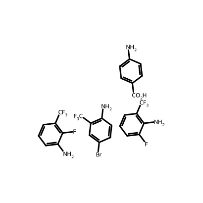 Nc1c(F)cccc1C(F)(F)F.Nc1ccc(Br)cc1C(F)(F)F.Nc1ccc(C(=O)O)cc1.Nc1cccc(C(F)(F)F)c1F